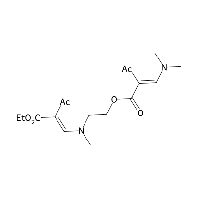 CCOC(=O)/C(=C/N(C)CCOC(=O)/C(=C/N(C)C)C(C)=O)C(C)=O